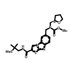 CSC(C)(C)CNC(=O)c1cn2c(nc3ccc(CN(C[C@H]4CCCO4)C(=O)OC(C)(C)C)cc32)s1